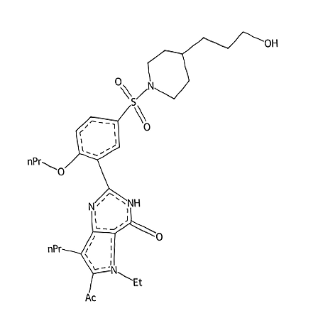 CCCOc1ccc(S(=O)(=O)N2CCC(CCCO)CC2)cc1-c1nc2c(CCC)c(C(C)=O)n(CC)c2c(=O)[nH]1